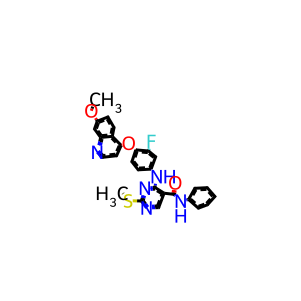 COc1ccc2c(Oc3ccc(Nc4nc(SC)ncc4C(=O)Nc4ccccc4)cc3F)ccnc2c1